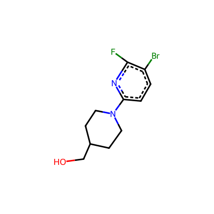 OCC1CCN(c2ccc(Br)c(F)n2)CC1